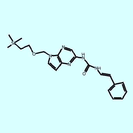 C[Si](C)(C)CCOCn1ccc2nc(NC(=O)NC=Cc3ccccc3)cnc21